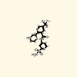 NS(=O)(=O)c1cc(NC(=O)c2cc(C(F)(F)F)cnc2C2CNCCS2)ccn1